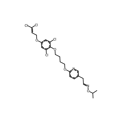 CC(C)ON=CCc1ccc(OCCCCOc2c(Cl)cc(OCC=C(Cl)Cl)cc2Cl)nc1